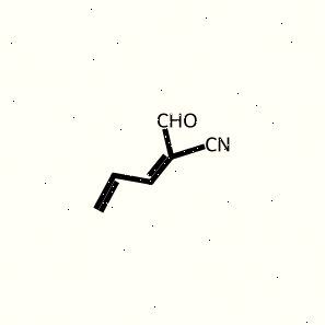 C=CC=C(C#N)C=O